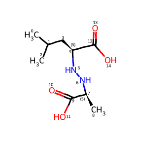 CC(C)C[C@H](NN[C@@H](C)C(=O)O)C(=O)O